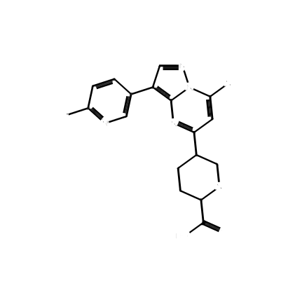 Nc1cc(C2CCC(C(=O)O)NC2)nc2c(-c3ccc(Cl)nc3)cnn12